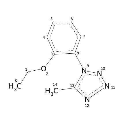 CCOc1ccccc1-n1nnnc1C